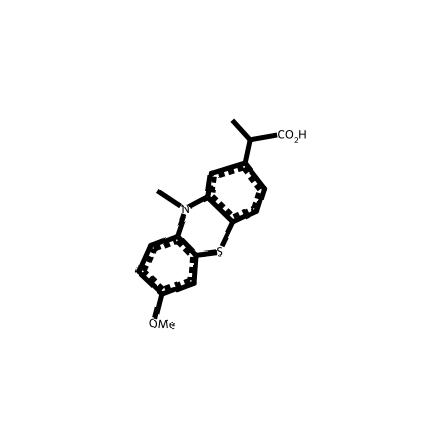 COc1ccc2c(c1)Sc1ccc(C(C)C(=O)O)cc1N2C